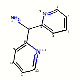 CC(c1ccccn1)c1ccccn1.N